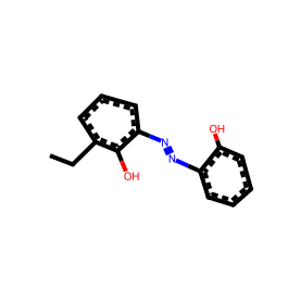 CCc1cccc(N=Nc2ccccc2O)c1O